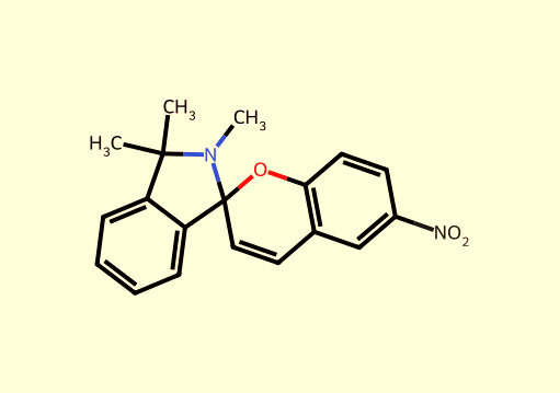 CN1C(C)(C)c2ccccc2C12C=Cc1cc([N+](=O)[O-])ccc1O2